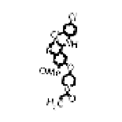 C=CC(=O)N1CCC(Oc2cc3c(Nc4ccc(Cl)cc4Cl)ncnc3cc2OC)CC1